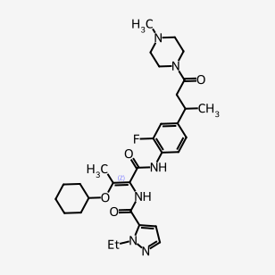 CCn1nccc1C(=O)N/C(C(=O)Nc1ccc(C(C)CC(=O)N2CCN(C)CC2)cc1F)=C(/C)OC1CCCCC1